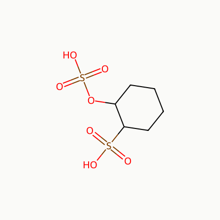 O=S(=O)(O)OC1CCCCC1S(=O)(=O)O